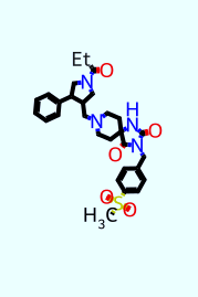 CCC(=O)N1CC(CN2CCC3(CC2)NC(=O)N(Cc2ccc(S(C)(=O)=O)cc2)C3=O)C(c2ccccc2)C1